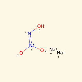 [Na+].[Na+].[O-][N+]([O-])=NO